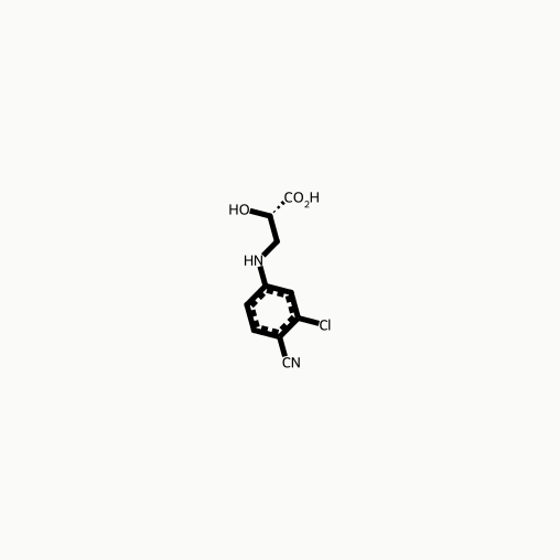 N#Cc1ccc(NC[C@H](O)C(=O)O)cc1Cl